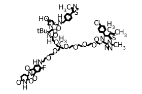 Cc1ncsc1-c1ccc(CNC(=O)[C@@H]2C[C@@H](O)CN2C(=O)[C@@H](NC(=O)COCC(C)(COCCOCCNc2cc3c(cc2F)C(=O)N(C2CCC(=O)NC2=O)C3=O)COCCOCCOCCOC(=O)C[C@@H]2N=C(c3ccc(Cl)cc3)c3c(sc(C)c3C)-n3c(C)nnc32)C(C)(C)C)cc1